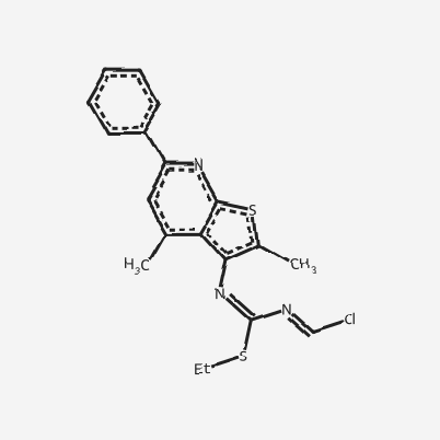 CCSC(/N=C/Cl)=N/c1c(C)sc2nc(-c3ccccc3)cc(C)c12